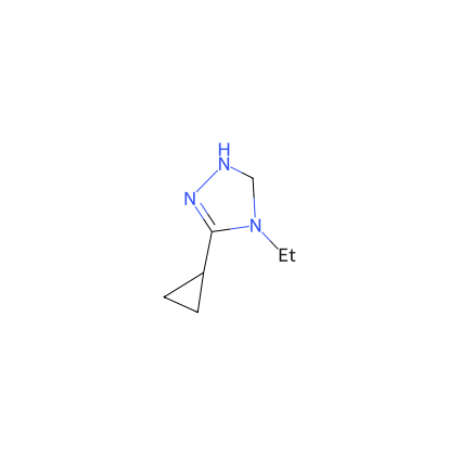 CCN1CNN=C1C1CC1